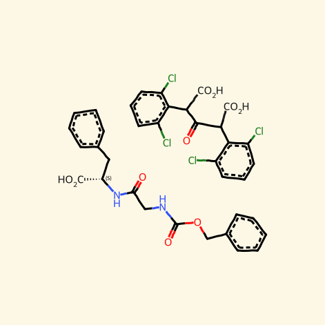 O=C(CNC(=O)OCc1ccccc1)N[C@@H](Cc1ccccc1)C(=O)O.O=C(O)C(C(=O)C(C(=O)O)c1c(Cl)cccc1Cl)c1c(Cl)cccc1Cl